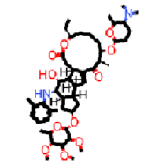 CC[C@H]1CCC[C@H](O[C@H]2CC[C@H](N(C)C)C(C)O2)[C@@H](C)C(=O)C2=C[C@H]3[C@@H]4C[C@H](O[C@@H]5OC(C)[C@H](OC)C(OC)C5OC)C[C@H]4[C@H](Nc4c(C)cccc4C)[C@@H](O)[C@H]3[C@@H]2CC(=O)O1